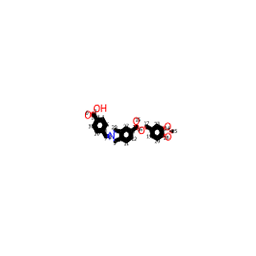 O=C(O)c1ccc(CN2Cc3ccc(C(=O)OCc4ccc5c(c4)OCO5)cc3C2)cc1